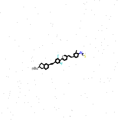 CCCCC1CCc2cc(C#Cc3cc(F)c(-c4ccc(/C=C/c5ccc(N=C=S)c(C)c5)cc4)c(F)c3)ccc2C1